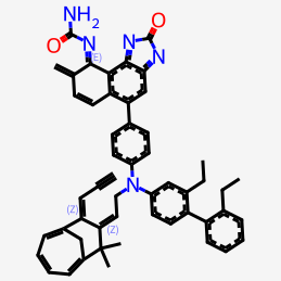 C#C/C=C1/C2=CC=CC=C(C2)C(C)(C)/C1=C/CN(c1ccc(-c2cc3c(c4c2C=CC(=C)/C4=N\C(N)=O)=NC(=O)N=3)cc1)c1ccc(-c2ccccc2CC)c(CC)c1